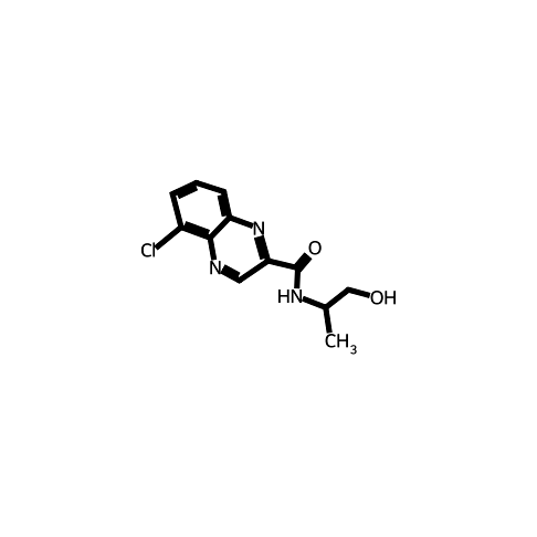 CC(CO)NC(=O)c1cnc2c(Cl)cccc2n1